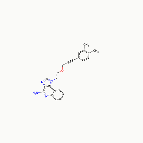 Cc1ccc(C#CCOCCn2cnc3c(N)nc4ccccc4c32)cc1C